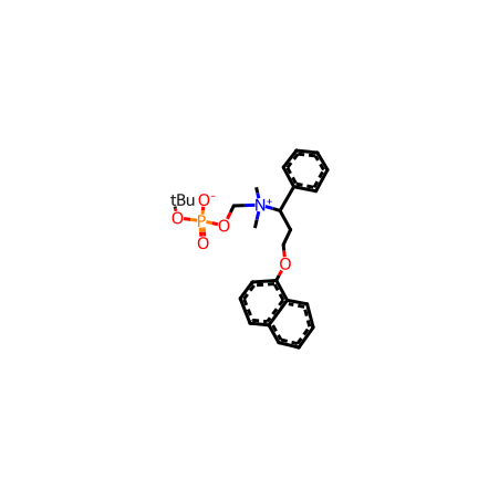 CC(C)(C)OP(=O)([O-])OC[N+](C)(C)C(CCOc1cccc2ccccc12)c1ccccc1